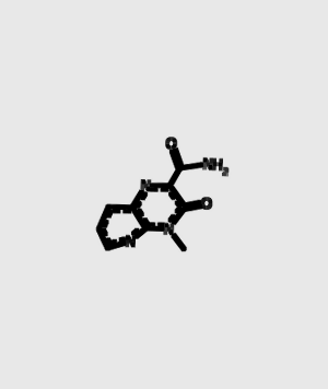 Cn1c(=O)c(C(N)=O)nc2cccnc21